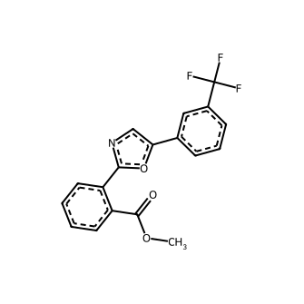 COC(=O)c1ccccc1-c1ncc(-c2cccc(C(F)(F)F)c2)o1